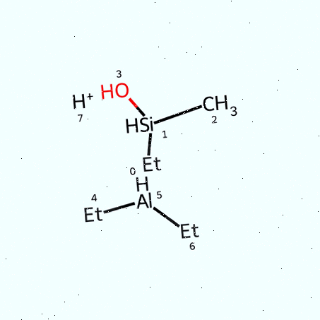 CC[SiH](C)O.C[CH2][AlH][CH2]C.[H+]